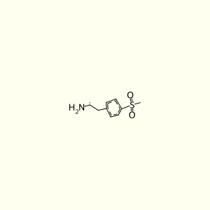 CS(=O)(=O)c1ccc(C[CH]N)cc1